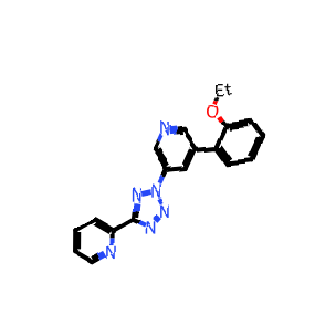 CCOc1ccccc1-c1cncc(-n2nnc(-c3ccccn3)n2)c1